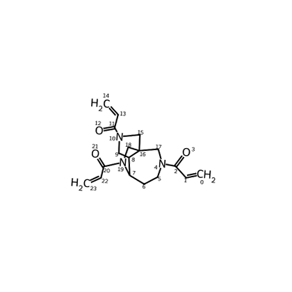 C=CC(=O)N1CCC2C3CN(C(=O)C=C)CC3(C1)CN2C(=O)C=C